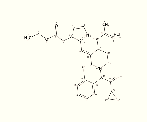 CCOC(=O)Cn1ccnc1C=C1CN(C(C(=O)C2CC2)c2ccccc2F)CCC1SC(C)=O.Cl